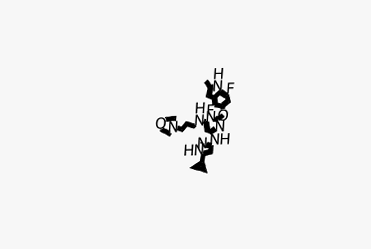 Cc1cc2c(F)c(Oc3nc(NCCCN4CCOCC4)cc(Nc4cc(C5CC5)[nH]n4)n3)cc(F)c2[nH]1